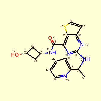 CC(Nc1nc(C(=O)N[C@H]2C[C@@H](O)C2)c2sccc2n1)c1ccccn1